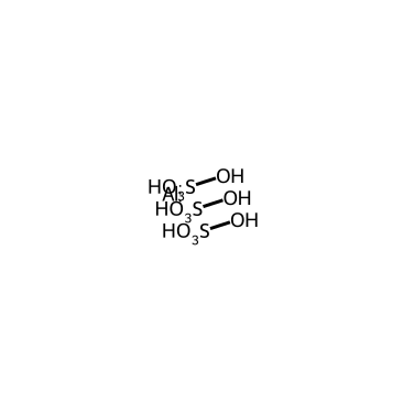 O=S(=O)(O)O.O=S(=O)(O)O.O=S(=O)(O)O.[Al]